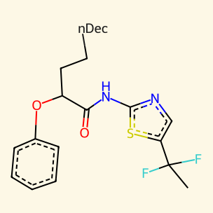 CCCCCCCCCCCCC(Oc1ccccc1)C(=O)Nc1ncc(C(C)(F)F)s1